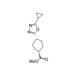 COC(=O)[C@H]1CC[C@H](c2nnc(C3CC3)o2)CC1